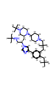 C[C@H](CNC(C)(C)C)n1cnc(-c2ccc(CC(C)(C)C)c(CC(C)(C)CN3CCC(N4CCN(C(C)(C)C)CC4)CC3)c2)c1